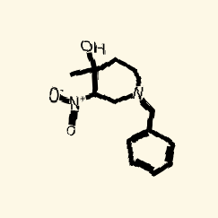 CC1(O)CCN(Cc2ccccc2)CC1[N+](=O)[O-]